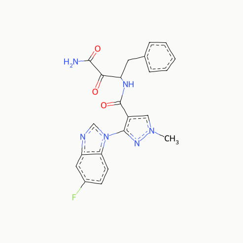 Cn1cc(C(=O)NC(Cc2ccccc2)C(=O)C(N)=O)c(-n2cnc3cc(F)ccc32)n1